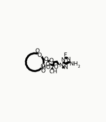 C#C[C@]1(CO)O[C@@H](n2cnc3c(N)nc(F)nc32)C[C@@H]1OC(=O)OC1COC(=O)CCCCCCCCCCCC(=O)OC1